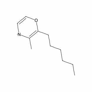 CCCCCCC1=C(C)[N]C=CO1